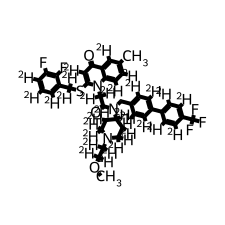 [2H]c1c([2H])c(F)c(F)c(C([2H])([2H])Sc2c([2H])c(=O)c3c([2H])c(C)c([2H])c([2H])c3n2C([2H])([2H])C(=O)N(Cc2c([2H])c([2H])c(-c3c([2H])c([2H])c(C(F)(F)F)c([2H])c3[2H])c([2H])c2[2H])C2([2H])C([2H])([2H])C([2H])([2H])N(C([2H])([2H])C([2H])([2H])OC)C([2H])([2H])C2([2H])[2H])c1[2H]